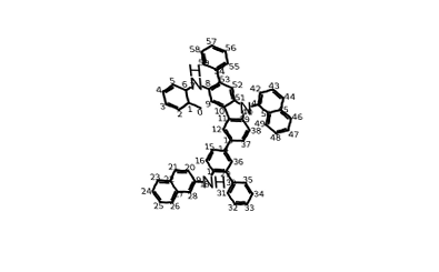 CC1C=CC=CC1Nc1cc2c3cc(-c4ccc(Nc5ccc6ccccc6c5)c(-c5ccccc5)c4)ccc3n(-c3cccc4ccccc34)c2cc1-c1ccccc1